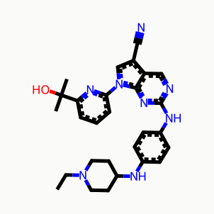 CCN1CCC(Nc2ccc(Nc3ncc4c(C#N)cn(-c5cccc(C(C)(C)O)n5)c4n3)cc2)CC1